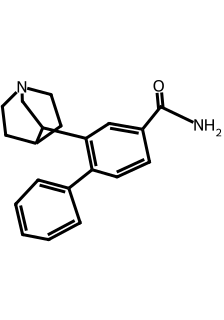 NC(=O)c1ccc(-c2ccccc2)c(C2CN3CCC2CC3)c1